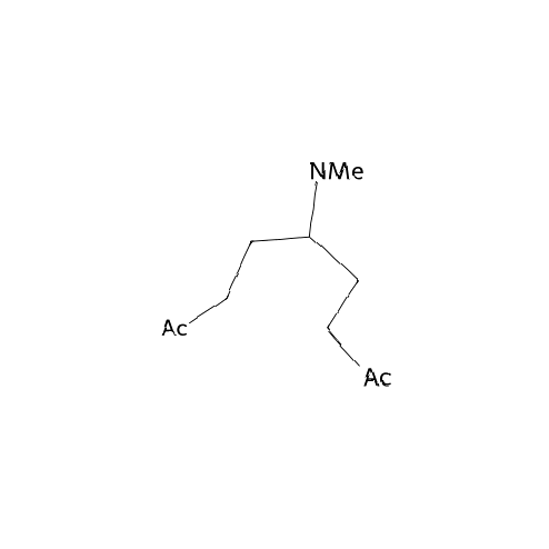 CNC(CCC(C)=O)CCC(C)=O